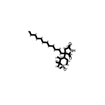 CCCCCCCCCCCCC1(C2CC[N+](C)([O-])C(C)(C)C2C)CC(=O)NC1=O